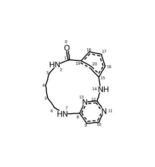 O=C1NCCCCNc2ccnc(n2)Nc2cccc1c2